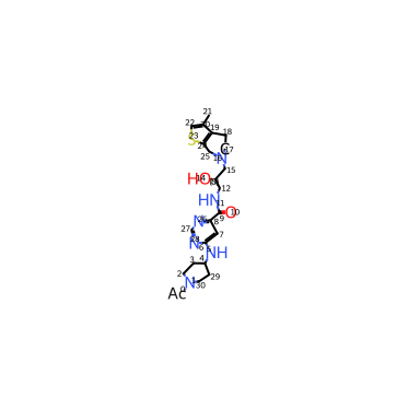 CC(=O)N1CCC(Nc2cc(C(=O)NC[C@H](O)CN3CCc4c(C)csc4C3)ncn2)CC1